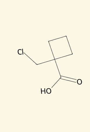 O=C(O)C1(CCl)CCC1